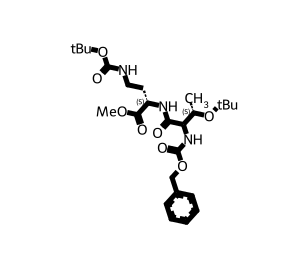 COC(=O)[C@H](CCNC(=O)OC(C)(C)C)NC(=O)C(NC(=O)OCc1ccccc1)[C@H](C)OC(C)(C)C